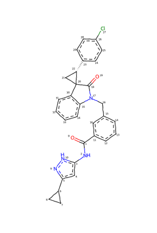 O=C(Nc1cc(C2CC2)n[nH]1)c1cccc(CN2C(=O)C3(C[C@@H]3c3ccc(Cl)cc3)c3ccccc32)c1